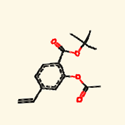 C=Cc1ccc(C(=O)OC(C)(C)C)c(OC(C)=O)c1